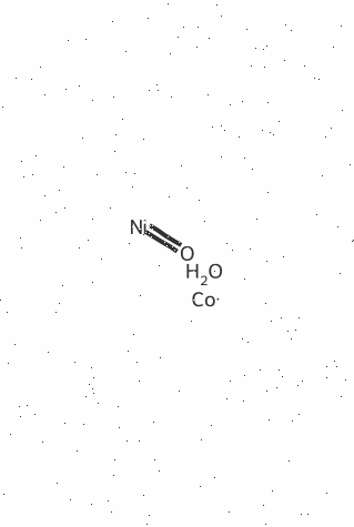 O.[Co].[O]=[Ni]